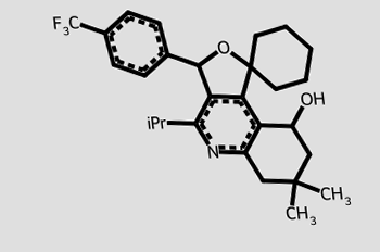 CC(C)c1nc2c(c3c1C(c1ccc(C(F)(F)F)cc1)OC31CCCCC1)C(O)CC(C)(C)C2